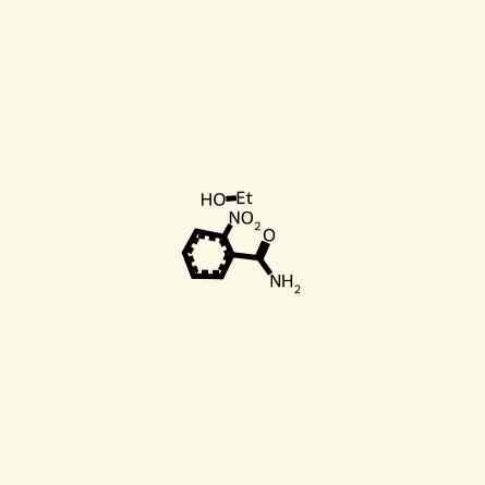 CCO.NC(=O)c1ccccc1[N+](=O)[O-]